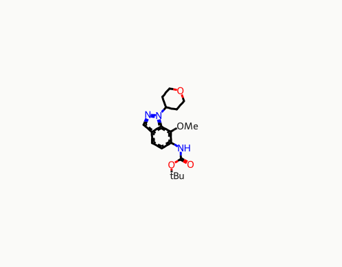 COc1c(NC(=O)OC(C)(C)C)ccc2cnn(C3CCOCC3)c12